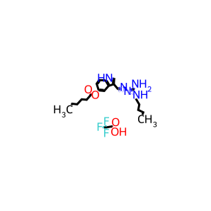 CCCCCN/C(N)=N/N=C/c1c[nH]c2ccc(OC(=O)CCCCC)cc12.O=C(O)C(F)(F)F